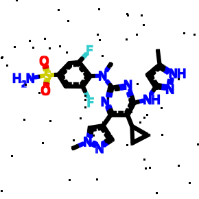 Cc1cc(Nc2nc(N(C)c3c(F)cc(S(N)(=O)=O)cc3F)nc(-c3cnn(C)c3)c2C2CC2)n[nH]1